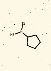 CCN(S)C1CCCC1